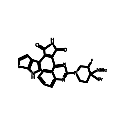 CNC1(C(C)C)CCN(c2nc(C3=C(c4c[nH]c5sccc45)C(=O)NC3=O)c3ccccc3n2)CC1F